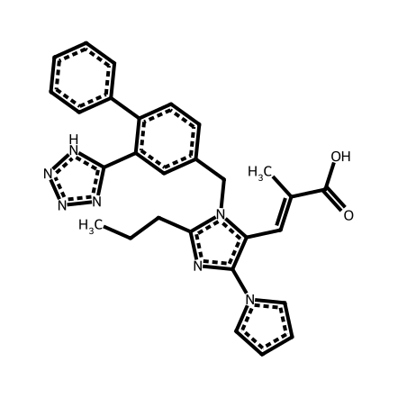 CCCc1nc(-n2cccc2)c(C=C(C)C(=O)O)n1Cc1ccc(-c2ccccc2)c(-c2nnn[nH]2)c1